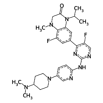 CC(C)N1C(=O)CN(C)c2c(F)cc(-c3nc(Nc4ccc(N5CCC(N(C)C)CC5)cn4)ncc3F)cc21